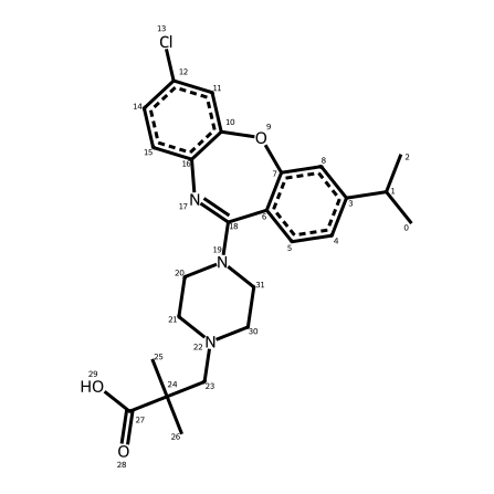 CC(C)c1ccc2c(c1)Oc1cc(Cl)ccc1N=C2N1CCN(CC(C)(C)C(=O)O)CC1